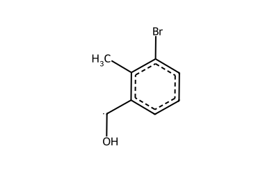 Cc1c(Br)cccc1[CH]O